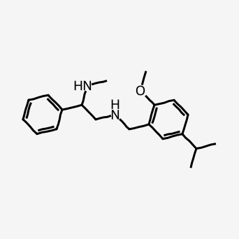 CNC(CNCc1cc(C(C)C)ccc1OC)c1ccccc1